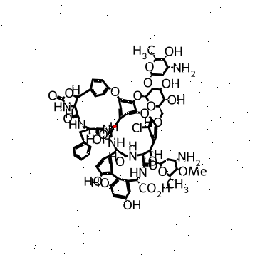 CO[C@H]1[C@H](C)O[C@@H](O[C@@H]2c3ccc(c(Cl)c3)Oc3cc4cc(c3O[C@@H]3O[C@H](CO)[C@@H](O)[C@H](O)[C@H]3O[C@H]3C[C@H](N)[C@@H](O)[C@H](C)O3)Oc3ccc(cc3)[C@H]3OC(=O)N[C@H]3C(=O)N[C@@H](Cc3ccccc3)C(=O)N[C@H]4C(=O)N[C@H]3C(=O)N[C@@H]2C(=O)N[C@H](C(=O)O)c2cc(O)cc(O)c2-c2cc3ccc2O)C[C@@H]1N